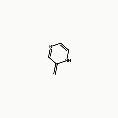 C=C1[C]=NC=[C]N1